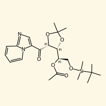 CC(=O)O[C@H](CO[Si](C)(C)C(C)(C)C)[C@H]1OC(C)(C)O[C@H]1C(=O)c1cnc2ccccn12